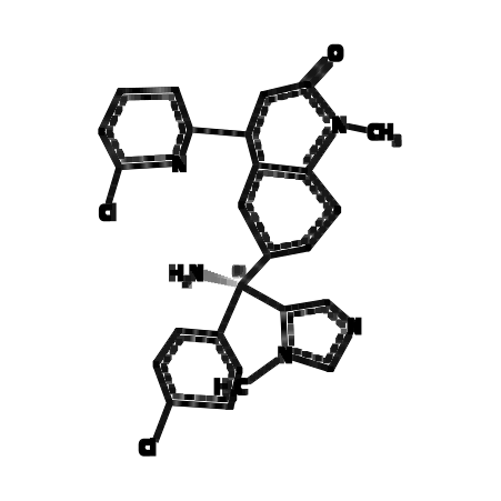 Cn1cncc1[C@@](N)(c1ccc(Cl)cc1)c1ccc2c(c1)c(-c1cccc(Cl)n1)cc(=O)n2C